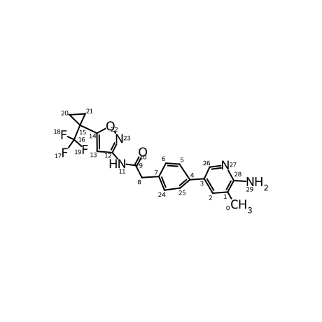 Cc1cc(-c2ccc(CC(=O)Nc3cc(C4(C(F)(F)F)CC4)on3)cc2)cnc1N